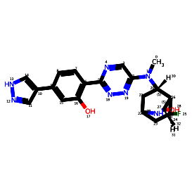 CN(c1cnc(-c2ccc(-c3cn[nH]c3)cc2O)nn1)[C@H]1CC2C[C@H](F)C1[C@H](O)N2